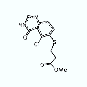 COC(=O)CCSc1ccc2nc[nH]c(=O)c2c1Cl